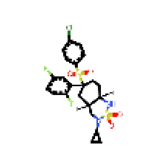 O=S1(=O)N[C@H]2CC[C@@](c3cc(F)ccc3F)(S(=O)(=O)c3ccc(Cl)cc3)C[C@H]2CN1C1CC1